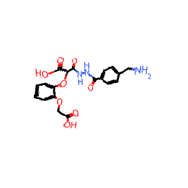 NCc1ccc(C(=O)NNC(=O)C(Oc2ccccc2OCC(=O)O)C(=O)O)cc1